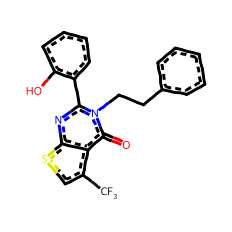 O=c1c2c(C(F)(F)F)csc2nc(-c2ccccc2O)n1CCc1ccccc1